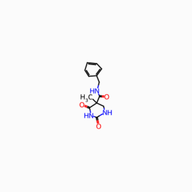 CC1(C(=O)NCc2ccccc2)CNC(=O)NC1=O